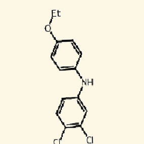 CCOc1ccc(Nc2ccc(Cl)c(Cl)c2)cc1